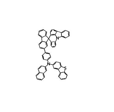 c1ccc2c(c1)-c1ccc(-c3ccc(N(c4ccc5ccccc5c4)c4ccc5sc6ccccc6c5c4)cc3)cc1C21c2ccccc2-n2c3ccccc3c3cccc1c32